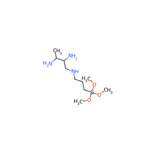 CO[Si](CCCNCC(N)C(C)N)(OC)OC